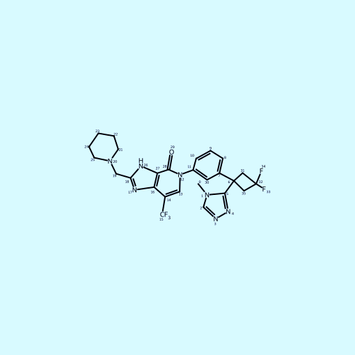 Cn1cnnc1C1(c2cccc(-n3cc(C(F)(F)F)c4nc(CN5CCCCC5)[nH]c4c3=O)c2)CC(F)(F)C1